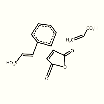 C=CC(=O)O.O=C1C=CC(=O)O1.O=S(=O)(O)C=Cc1ccccc1